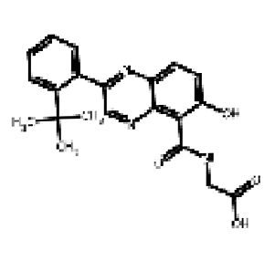 CC(C)(C)c1ccccc1-c1cnc2c(C(=O)NCC(=O)O)c(O)ccc2n1